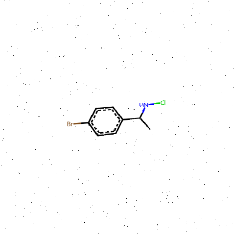 CC(NCl)c1ccc(Br)cc1